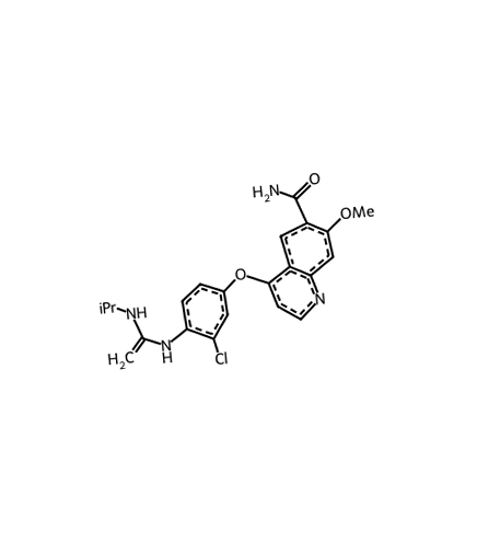 C=C(Nc1ccc(Oc2ccnc3cc(OC)c(C(N)=O)cc23)cc1Cl)NC(C)C